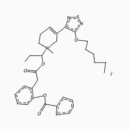 CCCCCCOc1nsnc1C1=CCC[N+](C)(C(CC)OC(=O)Cc2ccccc2OC(=O)c2ccccc2)C1.[I-]